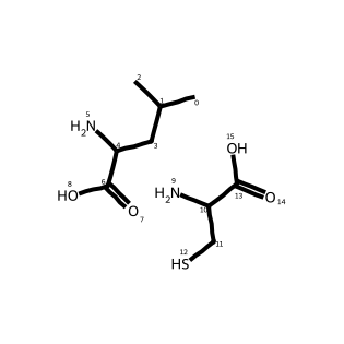 CC(C)CC(N)C(=O)O.NC(CS)C(=O)O